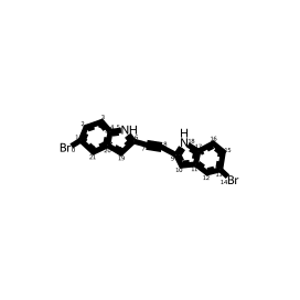 Brc1ccc2[nH]c(C#Cc3cc4cc(Br)ccc4[nH]3)cc2c1